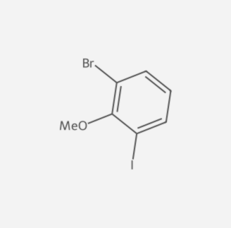 COc1c(Br)cccc1I